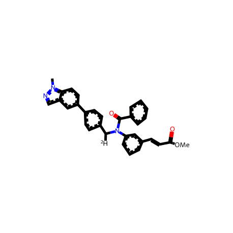 [2H]C(c1ccc(-c2ccc3c(cnn3C)c2)cc1)N(C(=O)c1ccccc1)c1cccc(/C=C/C(=O)OC)c1